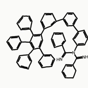 N=C(C1=CC=CCC1)N(C(=N)c1ccccc1)c1cccc(-c2cccc(-c3cccc(-c4cc(-c5ccccc5)c(-c5ccccc5)c(-c5ccccc5)c4-c4ccccc4)c3)c2)c1